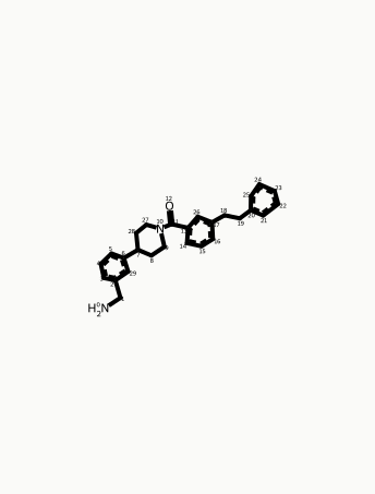 NCc1cccc(C2CCN(C(=O)c3cccc(CCc4ccccc4)c3)CC2)c1